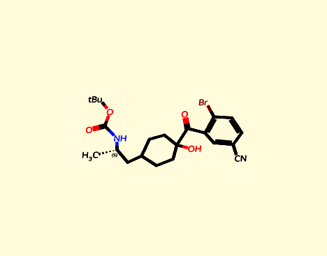 C[C@@H](CC1CCC(O)(C(=O)c2cc(C#N)ccc2Br)CC1)NC(=O)OC(C)(C)C